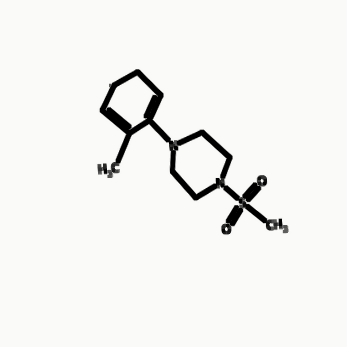 CC1=C[CH]CC=C1N1CCN(S(C)(=O)=O)CC1